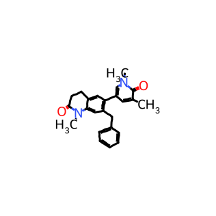 Cc1cc(-c2cc3c(cc2Cc2ccccc2)N(C)C(=O)CC3)cn(C)c1=O